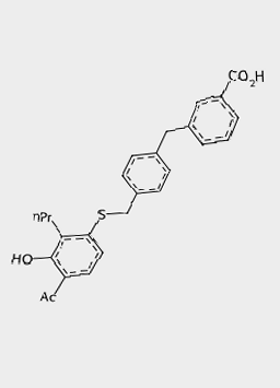 CCCc1c(SCc2ccc(Cc3cccc(C(=O)O)c3)cc2)ccc(C(C)=O)c1O